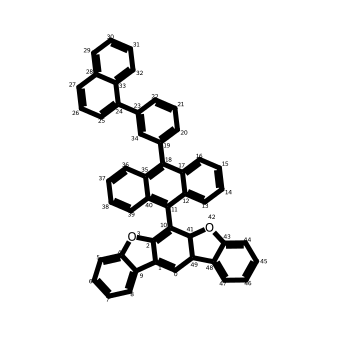 C1=c2c(oc3ccccc23)=C(c2c3ccccc3c(-c3cccc(-c4cccc5ccccc45)c3)c3ccccc23)C2Oc3ccccc3C12